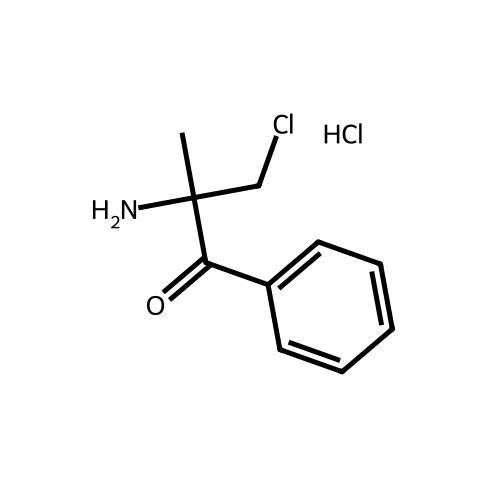 CC(N)(CCl)C(=O)c1ccccc1.Cl